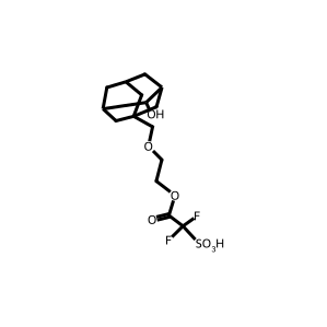 O=C(OCCOCC12CC3CC(C1)C(O)C(C3)C2)C(F)(F)S(=O)(=O)O